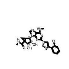 CNC(=O)C12CC1[C@@H](n1cnc3c(NC)nc(-n4cc(-c5ccccc5Cl)nn4)nc31)[C@H](O)[C@@H]2O